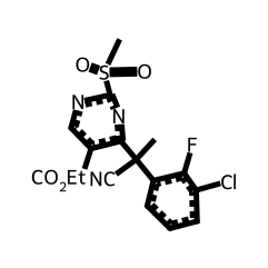 CCOC(=O)c1cnc(S(C)(=O)=O)nc1C(C)(C#N)c1cccc(Cl)c1F